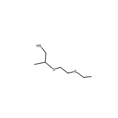 CCSCCSC(C)CS